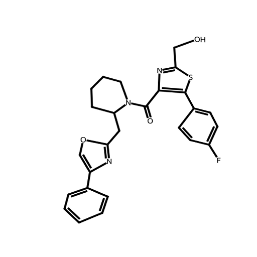 O=C(c1nc(CO)sc1-c1ccc(F)cc1)N1CCCCC1Cc1nc(-c2ccccc2)co1